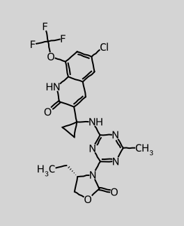 CC[C@H]1COC(=O)N1c1nc(C)nc(NC2(c3cc4cc(Cl)cc(OC(F)(F)F)c4[nH]c3=O)CC2)n1